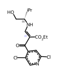 CCOC(=O)/C(=C\N[C@H](CO)C(C)C)C(=O)c1cc(Cl)ncc1Cl